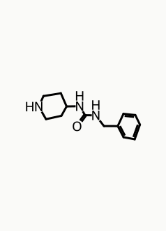 O=C(NCc1ccccc1)NC1CCNCC1